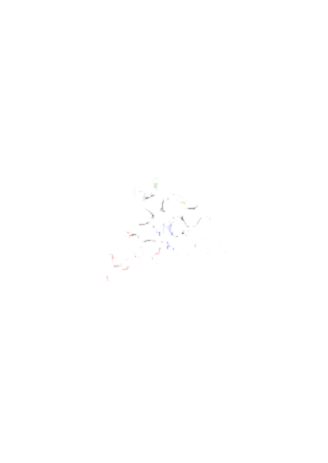 CCCCC1CCN2C(=O)c3c(OCOC(=O)OC)c(=O)ccn3N(C3c4ccccc4SCc4c3ccc(F)c4F)C2C1